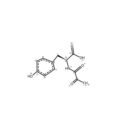 CC(=O)C(=O)N[C@@H](Cc1ccc(O)cc1)C(=O)O